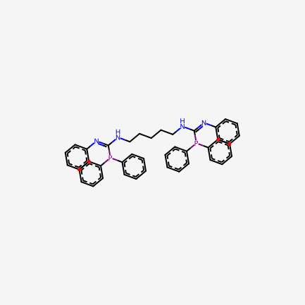 c1ccc(/N=C(/NCCCCCN/C(=N/c2ccccc2)P(c2ccccc2)c2ccccc2)P(c2ccccc2)c2ccccc2)cc1